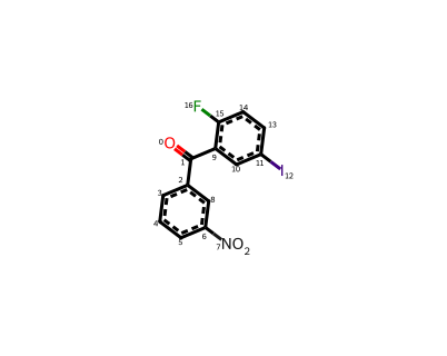 O=C(c1cccc([N+](=O)[O-])c1)c1cc(I)ccc1F